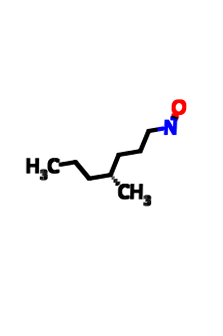 CCC[C@@H](C)CCCN=O